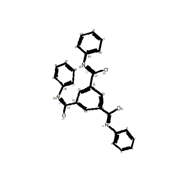 ClC(=Nc1ccccc1)c1cc(/C(Cl)=N/c2ccccc2)cc(/C(Cl)=N\c2ccccc2)c1